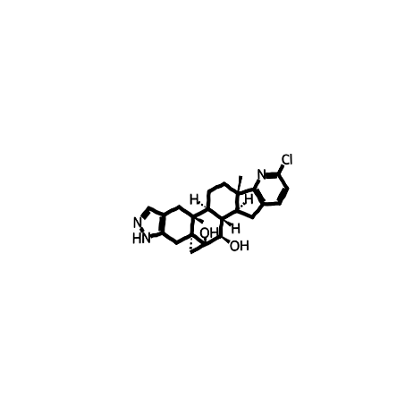 C[C@]12CC[C@H]3[C@@H]([C@@H](O)[C@@]4(O)C[C@@]45Cc4[nH]ncc4C[C@]35C)[C@@H]1Cc1ccc(Cl)nc12